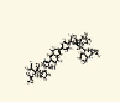 COC(=O)N[C@H](C(=O)N1CCC[C@H]1c1ncc(-c2ccc3cc(-c4ccc(-c5cnc([C@@H]6C[Si](C)(C)CN6C(=O)[C@@H](NC(=O)OC)C6CCOCC6)[nH]5)cc4)ccc3c2)[nH]1)C(C)C